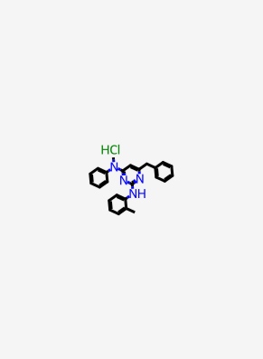 Cc1ccccc1Nc1nc(Cc2ccccc2)cc(N(C)c2ccccc2)n1.Cl